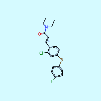 CCN(CC)C(=O)/C=C/c1ccc(Sc2ccc(F)cc2)cc1Cl